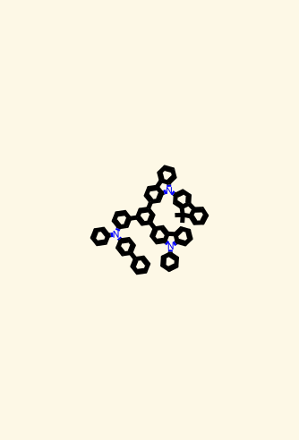 CC1(C)c2ccccc2-c2ccc(-n3c4ccccc4c4ccc(-c5cc(-c6cccc(N(c7ccccc7)c7ccc(-c8ccccc8)cc7)c6)cc(-c6ccc7c(c6)c6ccccc6n7-c6ccccc6)c5)cc43)cc21